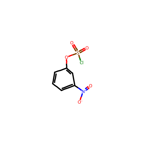 O=[N+]([O-])c1cccc(OS(=O)(=O)Cl)c1